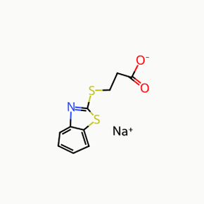 O=C([O-])CCSc1nc2ccccc2s1.[Na+]